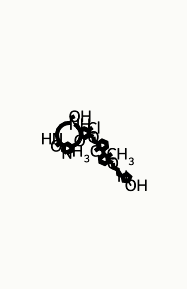 Cc1c(COc2cc3c(cc2Cl)CN[C@@H](CO)CCCCNC(=O)c2cncc(c2)CO3)cccc1-c1cccc(OCCCN2CC[C@@H](O)C2)c1C